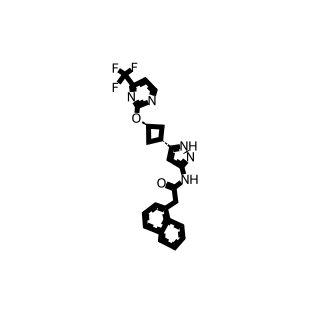 O=C(Cc1cccc2ccccc12)Nc1cc([C@H]2C[C@@H](Oc3nccc(C(F)(F)F)n3)C2)[nH]n1